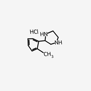 Cc1ccccc1C1CNCCN1.Cl